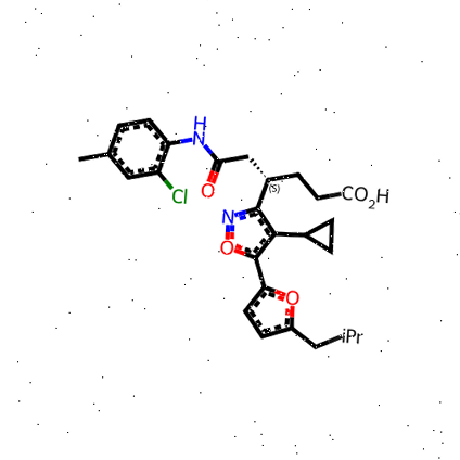 Cc1ccc(NC(=O)C[C@H](CCC(=O)O)c2noc(-c3ccc(CC(C)C)o3)c2C2CC2)c(Cl)c1